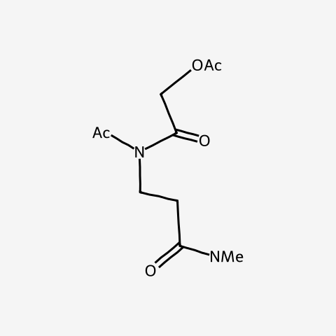 CNC(=O)CCN(C(C)=O)C(=O)COC(C)=O